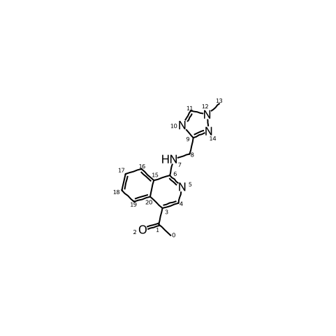 CC(=O)c1cnc(NCc2ncn(C)n2)c2ccccc12